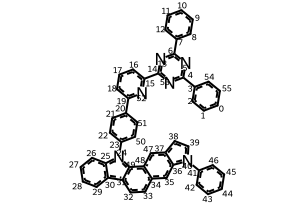 c1ccc(-c2nc(-c3ccccc3)nc(-c3cccc(-c4ccc(-n5c6ccccc6c6ccc7cc8c(ccn8-c8ccccc8)cc7c65)cc4)n3)n2)cc1